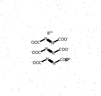 O=C([O-])N=NC(=O)[O-].O=C([O-])N=NC(=O)[O-].O=C([O-])N=NC(=O)[O-].[B+3].[B+3]